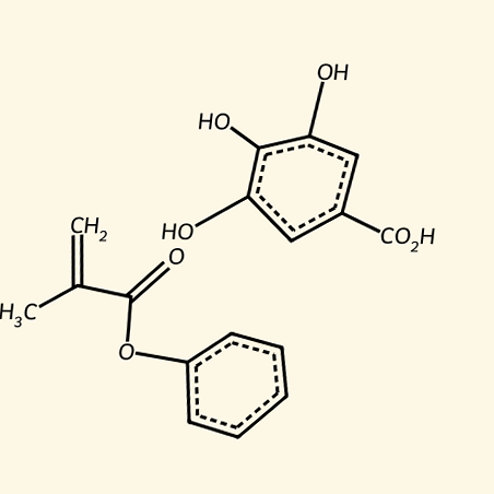 C=C(C)C(=O)Oc1ccccc1.O=C(O)c1cc(O)c(O)c(O)c1